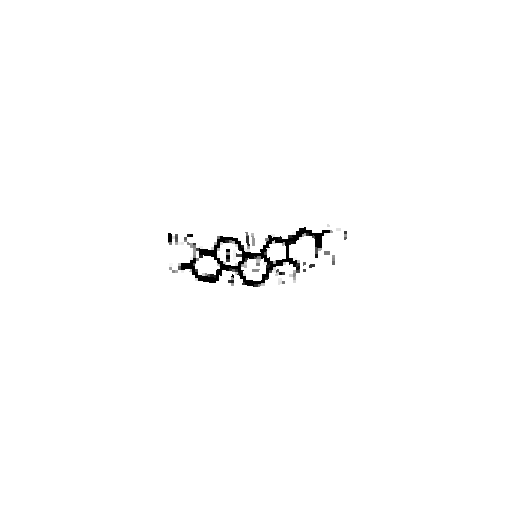 CC(C)C=C1C[C@H]2[C@@H]3CCC4N(C)C(=O)C=C[C@]4(C)[C@@H]3CC[C@]2(C)C1O